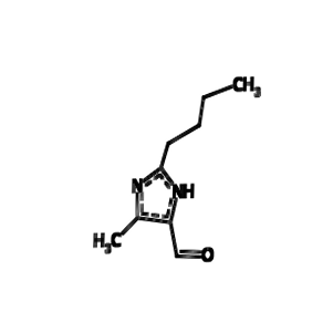 CCCCc1nc(C)c(C=O)[nH]1